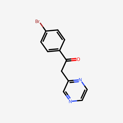 O=C(Cc1cnccn1)c1ccc(Br)cc1